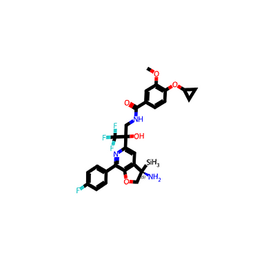 COc1cc(C(=O)NCC(O)(c2cc3c(c(-c4ccc(F)cc4)n2)OC[C@@]3(N)[SiH3])C(F)(F)F)ccc1OC1CC1